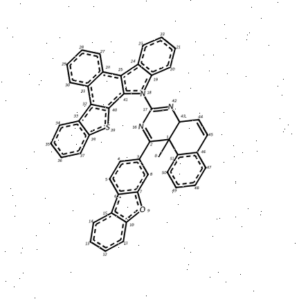 CC12C(c3ccc4c(c3)oc3ccccc34)=NC(n3c4ccccc4c4c5ccccc5c5c6ccccc6sc5c43)=NC1C=Cc1ccccc12